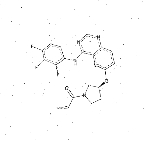 C=CC(=O)N1CC[C@H](Oc2ccc3ncnc(Nc4ccc(F)c(F)c4F)c3n2)C1